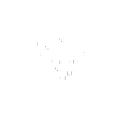 Cc1nc(OCC(=O)N(C)C2CCN(Cc3ccc(CF)cc3)CC2)nc(C)c1N